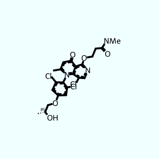 CNC(=O)CCOc1ncc(Cl)c2c1c(=O)cc(C)n2-c1c(Cl)cc(OC[C@@H](C)O)cc1Cl